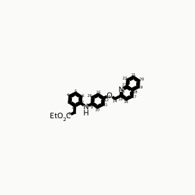 CCOC(=O)Cc1ccccc1Nc1ccc(OCc2ccc3ccccc3n2)cc1